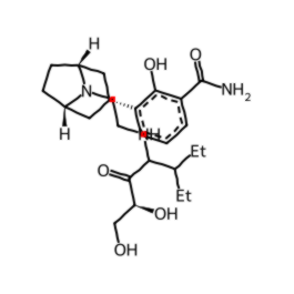 CCC(CC)C(NCCN1[C@@H]2CC[C@H]1C[C@@H](c1cccc(C(N)=O)c1O)C2)C(=O)[C@@H](O)CO